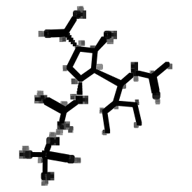 CCC(CC)C(NC(C)=O)[C@@H]1[C@H](O)[C@@H](C(=O)O)C[C@H]1NC(=N)N.O=P(O)(O)O